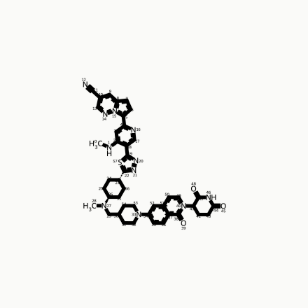 CNc1cc(-c2ccc3cc(C#N)cnn23)ncc1-c1nnc([C@H]2CC[C@H](N(C)CC3CCN(c4ccc5c(=O)n(C6CCC(=O)NC6=O)ccc5c4)CC3)CC2)s1